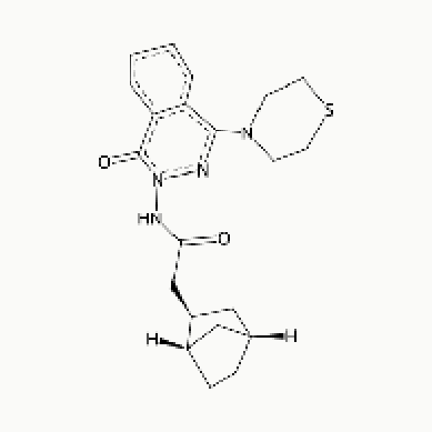 O=C(C[C@H]1C[C@@H]2CC[C@H]1C2)Nn1nc(N2CCSCC2)c2ccccc2c1=O